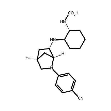 N#Cc1ccc(N2C[C@H]3C[C@H](N[C@@H]4CCCC[C@H]4NC(=O)O)[C@@H]2C3)cc1